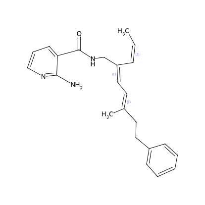 C\C=C/C(=C\C=C(/C)CCc1ccccc1)CNC(=O)c1cccnc1N